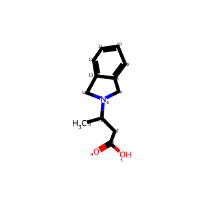 CC(CC(=O)O)N1Cc2ccccc2C1